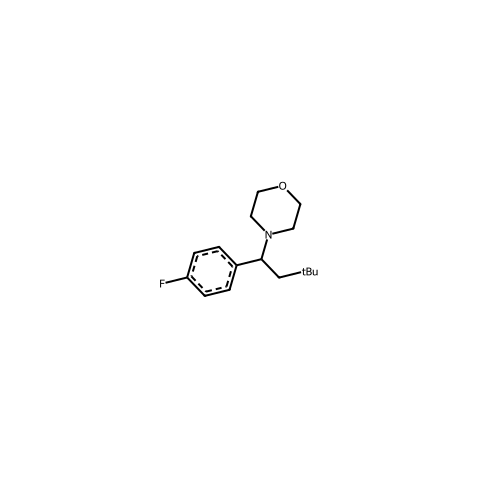 CC(C)(C)CC(c1ccc(F)cc1)N1CCOCC1